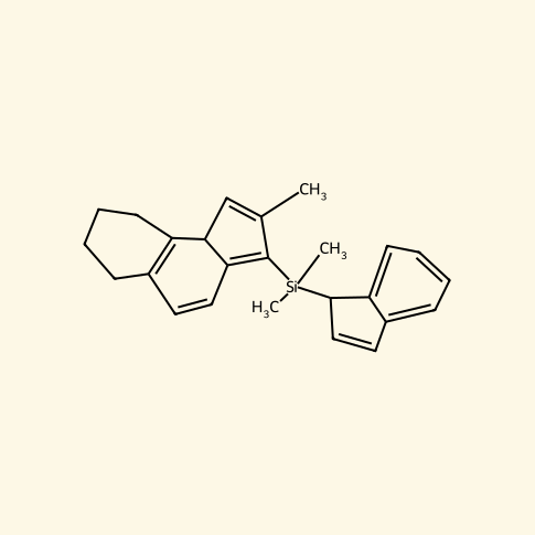 CC1=CC2C(=C1[Si](C)(C)C1C=Cc3ccccc31)C=CC1=C2CCCC1